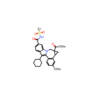 CCS(=O)(=O)NC(=O)c1ccc2c(C3CCCCC3)c3n(c2c1)CC1(C(=O)OC)CC1c1cc(OC)ccc1-3